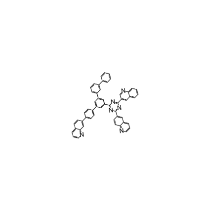 c1ccc(-c2cccc(-c3cc(-c4ccc(-c5ccc6cccnc6c5)cc4)cc(-c4nc(-c5ccc6ncccc6c5)nc(-c5cnc6ccccc6c5)n4)c3)c2)cc1